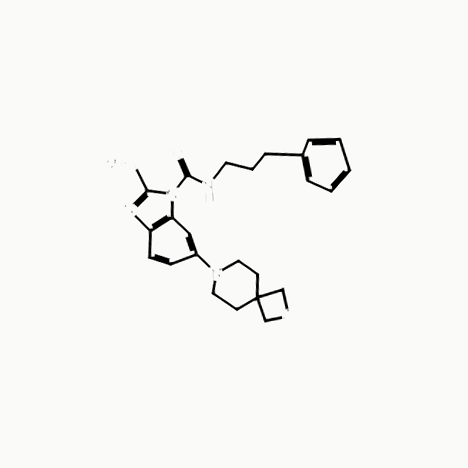 COc1nc2ccc(N3CCC4(CC3)COC4)cc2n1C(=O)NCCCc1ccccc1